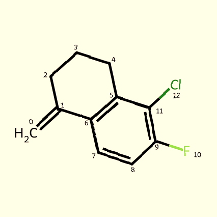 C=C1CCCc2c1ccc(F)c2Cl